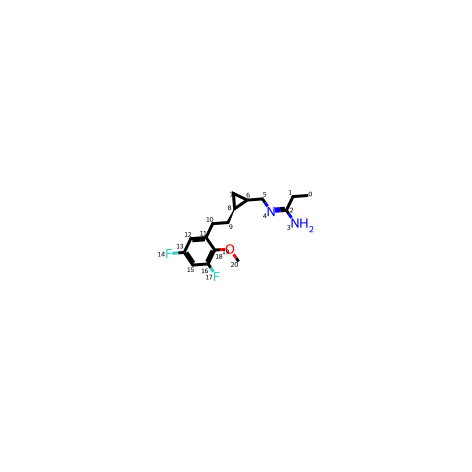 CC/C(N)=N\CC1C[C@@H]1CCc1cc(F)cc(F)c1OC